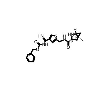 C[C@]12C[C@@H](C(=O)NCc3cc(C(=N)NC(=O)OCc4ccccc4)cs3)N[C@H]1C2